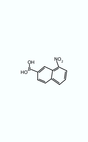 O=[N+]([O-])c1cccc2ccc(B(O)O)cc12